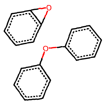 c1ccc(Oc2ccccc2)cc1.c1ccc2c(c1)O2